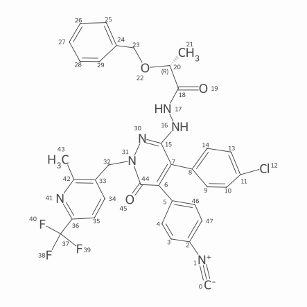 [C-]#[N+]c1ccc(-c2c(-c3ccc(Cl)cc3)c(NNC(=O)[C@@H](C)OCc3ccccc3)nn(Cc3ccc(C(F)(F)F)nc3C)c2=O)cc1